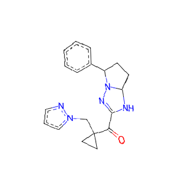 O=C(C1=NN2C(CCC2c2ccccc2)N1)C1(Cn2cccn2)CC1